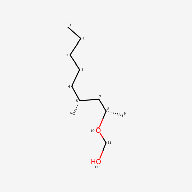 CCCCC[C@@H](C)C[C@H](C)OCO